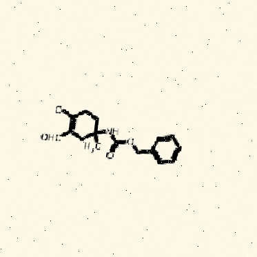 CC1(NC(=O)OCc2ccccc2)CCC(Cl)=C(C=O)C1